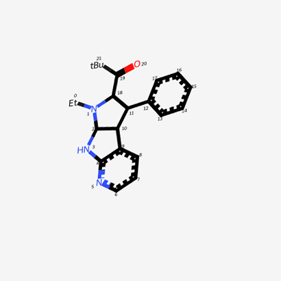 CCN1C2Nc3ncccc3C2C(c2ccccc2)C1C(=O)C(C)(C)C